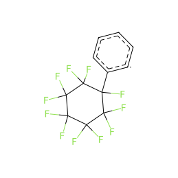 FC1(F)C(F)(F)C(F)(F)C(F)(c2[c]cccc2)C(F)(F)C1(F)F